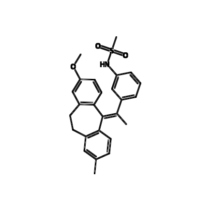 COc1ccc2c(c1)CCc1cc(C)ccc1/C2=C(\C)c1cccc(NS(C)(=O)=O)c1